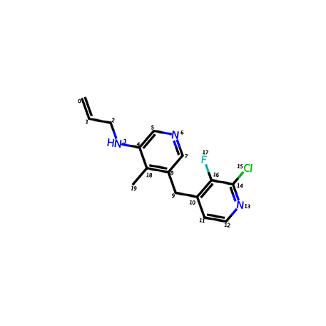 C=CCNc1cncc(Cc2ccnc(Cl)c2F)c1C